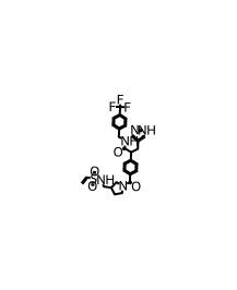 C=CS(=O)(=O)NCC1CCN(C(=O)c2ccc(C(Cc3cn[nH]c3)C(=O)NCc3ccc(C(F)(F)F)cc3)cc2)C1